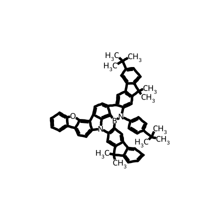 CC(C)(C)c1ccc(N2B3c4cc5c(cc4-n4c6ccc7c8ccccc8oc7c6c6ccc(c3c64)-c3cc4c(cc32)C(C)(C)c2ccc(C(C)(C)C)cc2-4)C(C)(C)c2ccccc2-5)cc1